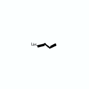 C=CC=C.[LiH]